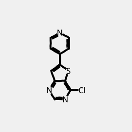 Clc1ncnc2cc(-c3ccncc3)sc12